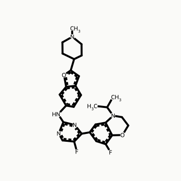 CC(C)N1CCOc2c(F)cc(-c3nc(Nc4ccc5cc(C6CCN(C)CC6)oc5c4)ncc3F)cc21